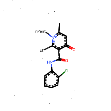 CCCCCn1c(C)cc(=O)c(C(=O)Nc2ccccc2Cl)c1CC